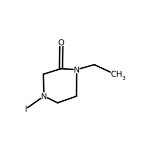 CCN1CCN(I)CC1=O